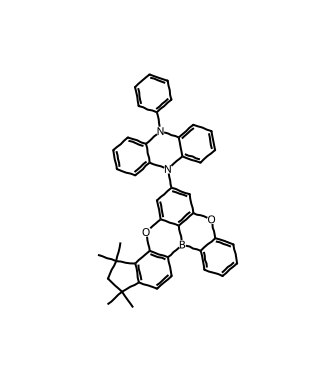 CC1(C)CC(C)(C)c2c1ccc1c2Oc2cc(N3c4ccccc4N(c4ccccc4)c4ccccc43)cc3c2B1c1ccccc1O3